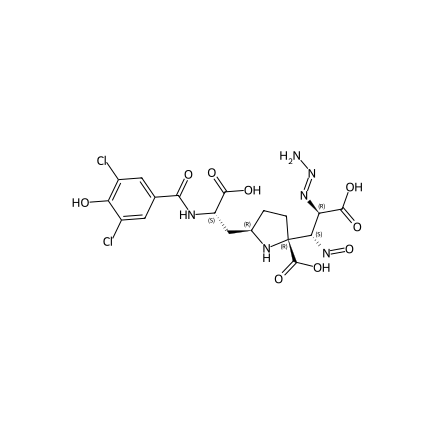 NN=N[C@@H](C(=O)O)[C@H](N=O)[C@@]1(C(=O)O)CC[C@H](C[C@H](NC(=O)c2cc(Cl)c(O)c(Cl)c2)C(=O)O)N1